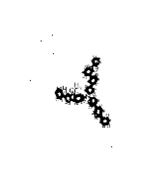 CC1(C)c2cc(-c3ccccc3)ccc2-c2ccc(N(c3ccc(-c4ccc(-c5ccccc5)cc4)cc3)c3ccc(-c4cccc(-c5cccc6c5oc5ccccc56)c4)cc3)cc21